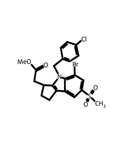 COC(=O)CC1CCc2c1n(Cc1ccc(Cl)cc1)c1c(Br)cc(S(C)(=O)=O)cc21